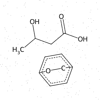 CC(O)CC(=O)O.c1cc2ccc1CO2